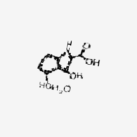 O.O=C(O)c1[nH]c2cccc(O)c2c1O